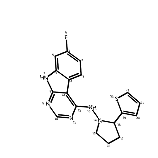 Fc1ccc2c(c1)[nH]c1ncnc(NN3CCCC3c3cccs3)c12